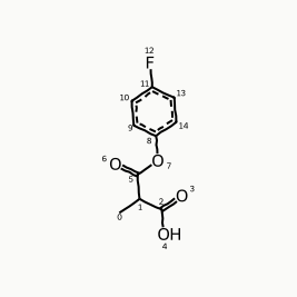 CC(C(=O)O)C(=O)Oc1ccc(F)cc1